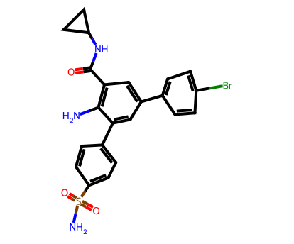 Nc1c(C(=O)NC2CC2)cc(-c2ccc(Br)cc2)cc1-c1ccc(S(N)(=O)=O)cc1